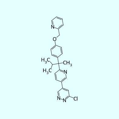 CC(C)C(C)(c1ccc(OCc2ccccn2)cc1)c1ccc(-c2cnnc(Cl)c2)cn1